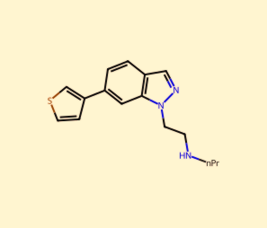 CCCNCCn1ncc2ccc(-c3ccsc3)cc21